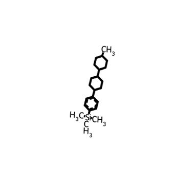 CC1CCC(C2CCC(c3ccc([Si](C)(C)C)cc3)CC2)CC1